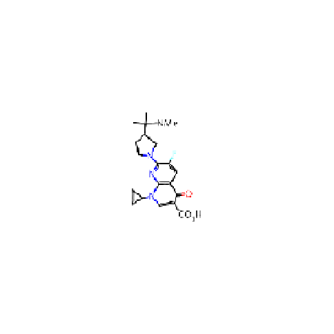 CNC(C)(C)[C@@H]1CCN(c2nc3c(cc2F)c(=O)c(C(=O)O)cn3C2CC2)C1